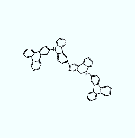 c1ccc2c(c1)-c1cc(-c3ccc4c(c3)c3ccccc3n4-c3ccc4c5ccccc5c5ccccc5c4c3)ccc1C[C@@H]2c1ccc2c3ccccc3c3ccccc3c2c1